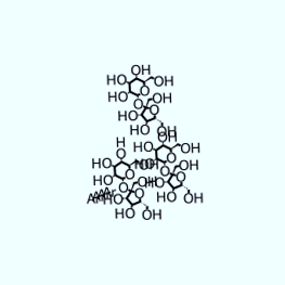 OC[C@H]1O[C@@](CO)(O[C@H]2O[C@H](CO)[C@@H](O)[C@H](O)[C@H]2O)[C@@H](O)[C@@H]1O.OC[C@H]1O[C@@](CO)(O[C@H]2O[C@H](CO)[C@@H](O)[C@H](O)[C@H]2O)[C@@H](O)[C@@H]1O.OC[C@H]1O[C@@](CO)(O[C@H]2O[C@H](CO)[C@@H](O)[C@H](O)[C@H]2O)[C@@H](O)[C@@H]1O.[Ar].[Ar].[Ar].[Ar]